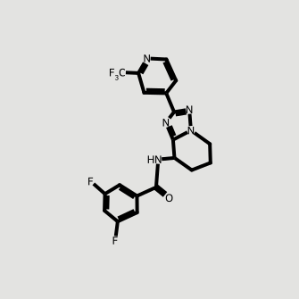 O=C(NC1CCCn2nc(-c3ccnc(C(F)(F)F)c3)nc21)c1cc(F)cc(F)c1